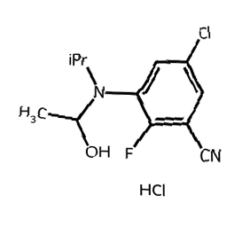 CC(C)N(c1cc(Cl)cc(C#N)c1F)C(C)O.Cl